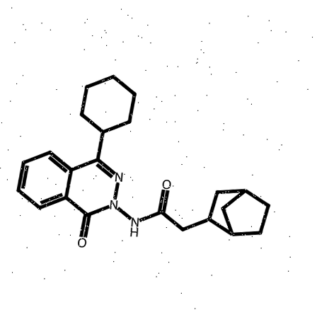 O=C(CC1CC2CCC1C2)Nn1nc(C2CCCCC2)c2ccccc2c1=O